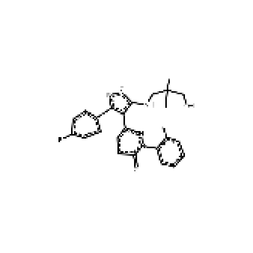 Cc1ccccc1-n1nc(-c2c(-c3ccc(F)cc3)n[nH]c2NCC(C)(C)CO)ccc1=O